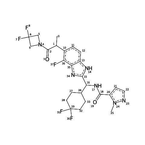 CC(C(=O)N1CC(F)(F)C1)c1ccc2[nH]c(C(NC(=O)c3ccnn3C)C3CCC(F)(F)CC3)nc2c1F